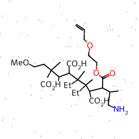 C=CCOCCOC(=O)C(C(C)CN)C(C(=O)O)C(C)(CC)C(C)(CC)C(C(=O)O)C(C(=O)O)C(C)(C)CCOC